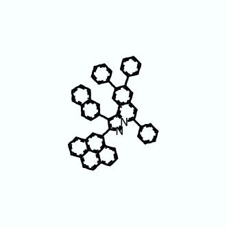 c1ccc(-c2cc3cc(-c4ccccc4)n4nc(-c5cc6cccc7ccc8cccc5c8c76)c(-c5ccc6ccccc6c5)c4c3cc2-c2ccccc2)cc1